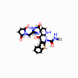 CCNC(=O)Nc1sc2ccccc2c1C(=O)C1CNCCC12N=C(CN1C(=O)CCC1=O)NC2=O